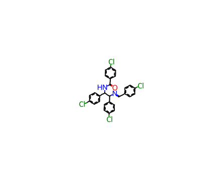 O=C(NC(c1ccc(Cl)cc1)C(/N=C/c1ccc(Cl)cc1)c1ccc(Cl)cc1)c1ccc(Cl)cc1